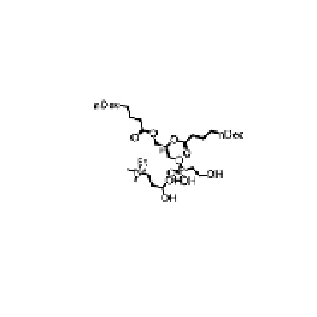 CCCCCCCCCCCCCC(=O)OC[C@H](COP(=O)(O)CCO)OC(=O)CCCCCCCCCCCCC.CC[N+](C)(C)CCC(O)O